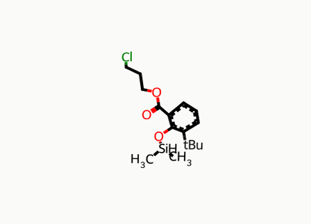 C[SiH](C)Oc1c(C(=O)OCCCCl)cccc1C(C)(C)C